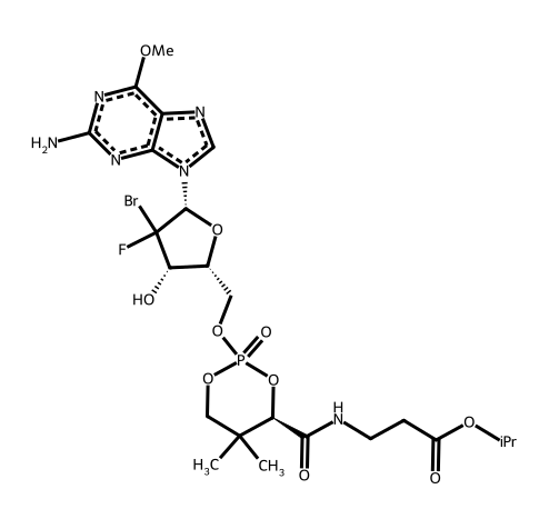 COc1nc(N)nc2c1ncn2[C@@H]1O[C@H](COP2(=O)OCC(C)(C)[C@H](C(=O)NCCC(=O)OC(C)C)O2)[C@H](O)C1(F)Br